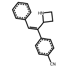 N#Cc1ccc(/C(=C/c2ccccc2)C2CCN2)cc1